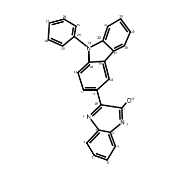 Clc1nc2ccccc2nc1-c1ccc2c(c1)c1ccccc1n2-c1ccccc1